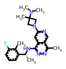 Cc1c(F)cccc1[C@@H](C)Nc1nnc(C)c2cnc(N3CC(C)(N(C)C)C3)cc12